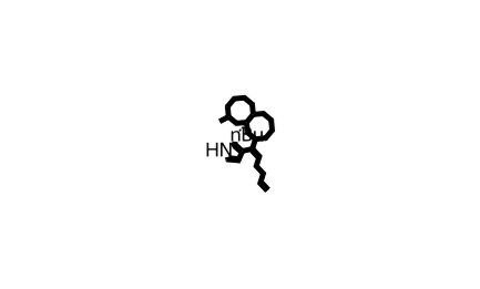 C=CCC/C=C(\c1cc[nH]c1CCCC)C1CCCCC2CCCCC(C)C[C@]2(C)C1